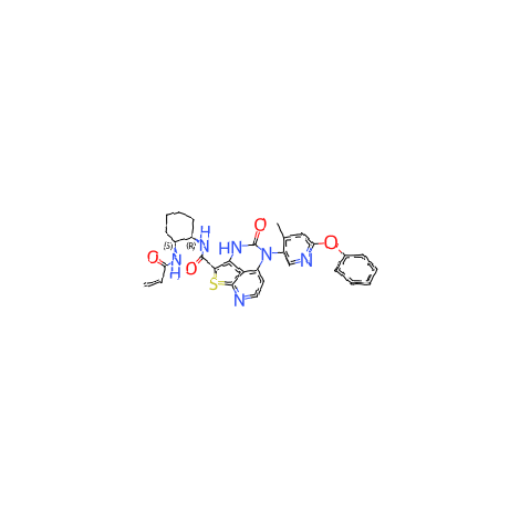 C=CC(=O)N[C@H]1CCCC[C@H]1NC(=O)c1sc2nccc3c2c1NC(=O)N3c1cnc(Oc2ccccc2)cc1C